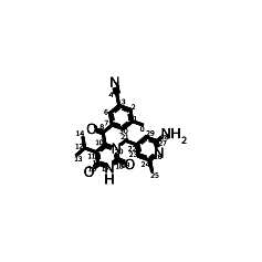 Cc1cc(C#N)cc(C(=O)c2c(C(C)C)c(=O)[nH]c(=O)n2Cc2cc(C)nc(N)c2)c1